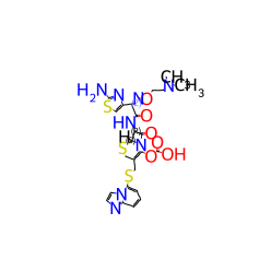 CN(C)CCO/N=C(\C(=O)N[C@@H]1C(=O)N2C(OC(=O)O)=C(CSc3cccc4nccn34)CS[C@@H]12)c1csc(N)n1